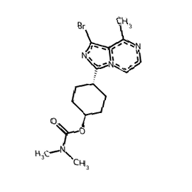 Cc1nccn2c1c(Br)nc2[C@H]1CC[C@H](OC(=O)N(C)C)CC1